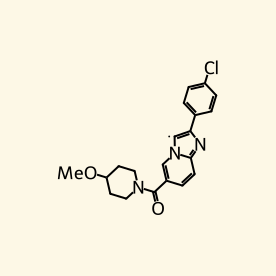 COC1CCN(C(=O)c2ccc3nc(-c4ccc(Cl)cc4)[c]n3c2)CC1